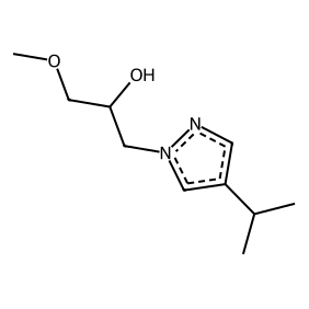 COCC(O)Cn1cc(C(C)C)cn1